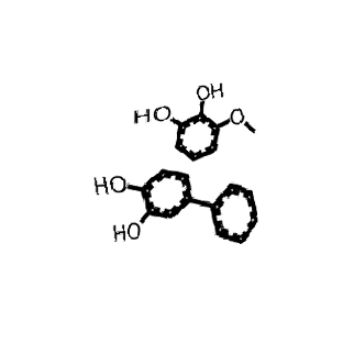 COc1cccc(O)c1O.Oc1ccc(-c2ccccc2)cc1O